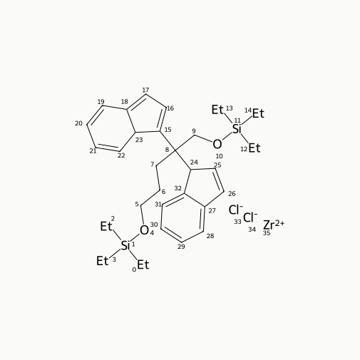 CC[Si](CC)(CC)OCCCC(CO[Si](CC)(CC)CC)(C1=CC=C2C=CC=CC21)C1C=Cc2ccccc21.[Cl-].[Cl-].[Zr+2]